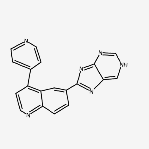 c1cc(-c2ccnc3ccc(-c4nc5c[nH]cnc-5n4)cc23)ccn1